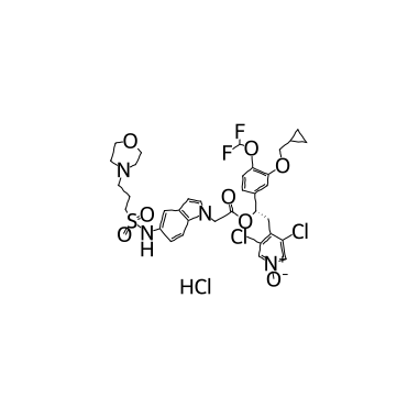 Cl.O=C(Cn1ccc2cc(NS(=O)(=O)CCCN3CCOCC3)ccc21)O[C@@H](Cc1c(Cl)c[n+]([O-])cc1Cl)c1ccc(OC(F)F)c(OCC2CC2)c1